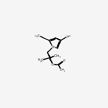 CC(=O)OC(C)(C)C[SH]1C=C(O)C=C1C